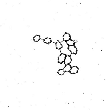 c1ccc(-c2ccc(-c3cc(-c4ccccc4)nc(-c4cccc5oc6ccc(-c7ccc8c9ccccc9c9ccccc9c8c7)cc6c45)n3)cc2)cc1